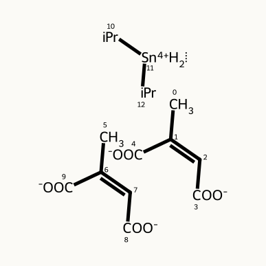 C/C(=C/C(=O)[O-])C(=O)[O-].C/C(=C/C(=O)[O-])C(=O)[O-].C[CH](C)[SnH2+4][CH](C)C